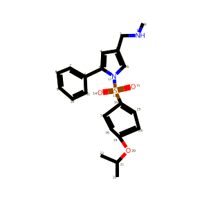 CNCc1cc(-c2ccccc2)n(S(=O)(=O)c2ccc(OC(C)C)cc2)c1